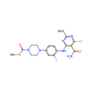 CSc1nc(Cl)c(C(N)=O)c(Nc2ccc(N3CCN(C(=O)OC(C)(C)C)CC3)cc2F)n1